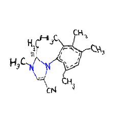 Cc1cc(C)c(N2C(C#N)=CN(C)[C@@H]2C)c(C)c1C